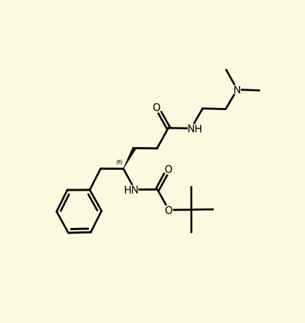 CN(C)CCNC(=O)CC[C@H](Cc1ccccc1)NC(=O)OC(C)(C)C